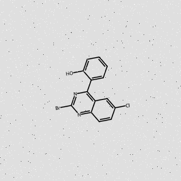 Oc1ccccc1-c1nc(Br)nc2ccc(Cl)cc12